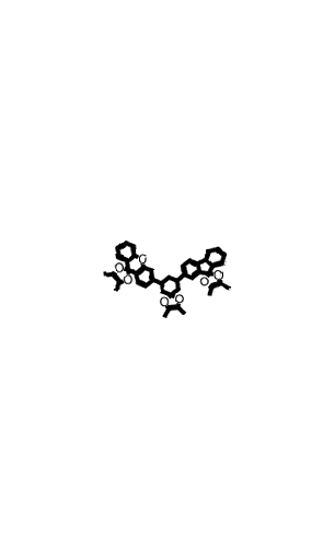 CC1=C(C)OC2(CC(c3ccc4c(c3)Oc3ccccc3C43OC(C)=C(C)O3)CC(c3ccc4c(c3)C3(OC(C)=C(C)O3)c3ccccc3-4)C2)O1